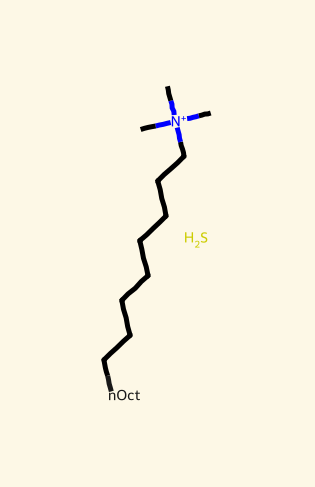 CCCCCCCCCCCCCCCC[N+](C)(C)C.S